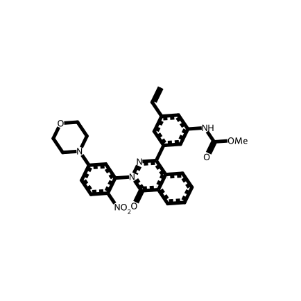 C=Cc1cc(NC(=O)OC)cc(-c2nn(-c3cc(N4CCOCC4)ccc3[N+](=O)[O-])c(=O)c3ccccc23)c1